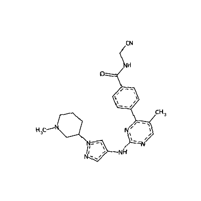 Cc1cnc(Nc2cnn(C3CCCN(C)C3)c2)nc1-c1ccc(C(=O)NCC#N)cc1